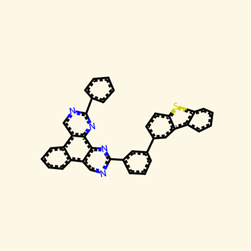 c1ccc(-c2ncc3c4ccccc4c4cnc(-c5cccc(-c6ccc7sc8ccccc8c7c6)c5)nc4c3n2)cc1